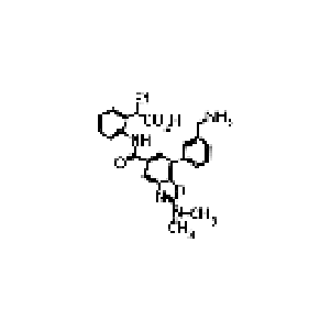 CCC(C(=O)O)c1ccccc1NC(=O)c1cc(-c2cccc(CN)c2)c2oc(N(C)C)nc2c1